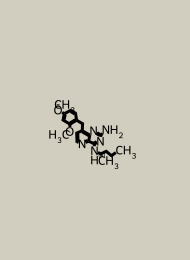 CCC[C@H](C)Nc1nc(N)nc2c(Cc3ccc(OC)cc3OC)ccnc12